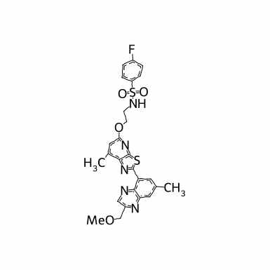 COCc1cnc2c(-c3nc4c(C)cc(OCCNS(=O)(=O)c5ccc(F)cc5)nc4s3)cc(C)cc2n1